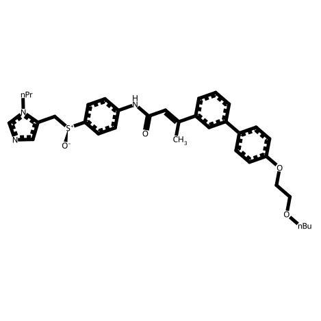 CCCCOCCOc1ccc(-c2cccc(/C(C)=C/C(=O)Nc3ccc([S@@+]([O-])Cc4cncn4CCC)cc3)c2)cc1